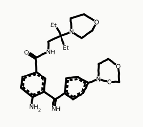 CCC(CC)(CNC(=O)c1ccc(N)c(C(=N)c2ccc(N3CCOCC3)cc2)c1)N1CCOCC1